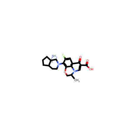 CC1COc2c(N3CCC4CCC[C@@]4(N)C3)c(F)cc3c(=O)c(C(=O)O)cn1c23